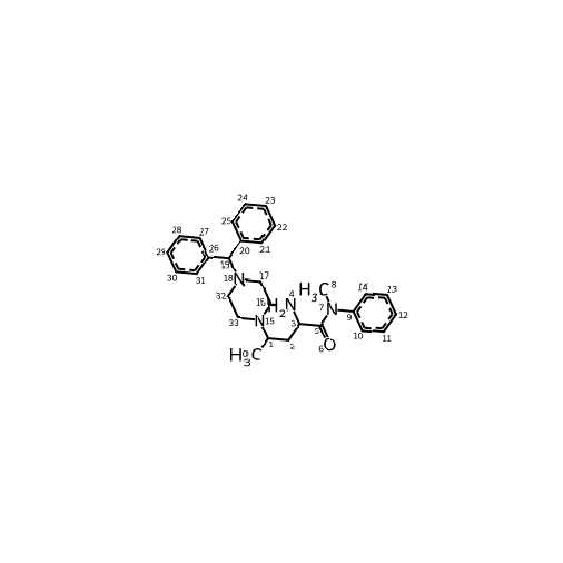 CC(CC(N)C(=O)N(C)c1ccccc1)N1CCN(C(c2ccccc2)c2ccccc2)CC1